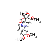 COc1cc2c(cc1OC)/C(=C/c1cc(OC)c(OC)c(OC)c1)N(C=O)CC2